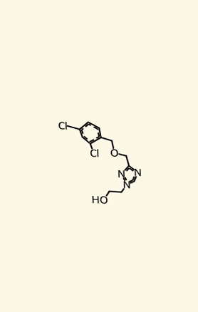 OCCn1cnc(COCc2ccc(Cl)cc2Cl)n1